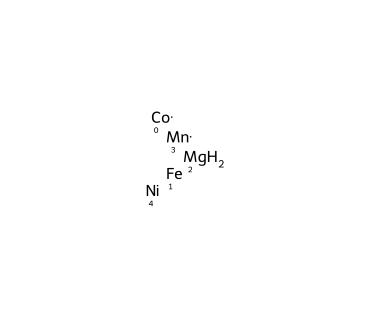 [Co].[Fe].[MgH2].[Mn].[Ni]